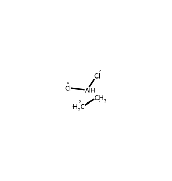 [CH2]C.[Cl][AlH][Cl]